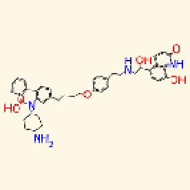 N[C@H]1CC[C@H](N(C(=O)O)c2cc(CCCCOc3ccc(CCNCC(O)c4ccc(O)c5[nH]c(=O)ccc45)cc3)ccc2-c2ccccc2)CC1